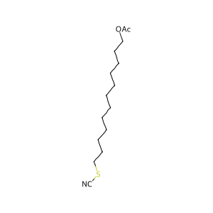 CC(=O)OCCCCCCCCCCCCSC#N